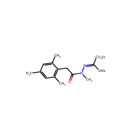 CCOC(=O)C(=NN(C)C(=O)Cc1c(C)cc(C)cc1C)SC